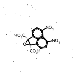 O=C(O)[C@]1(c2ccc([N+](=O)[O-])cc2)O[C@@]1(C(=O)O)c1ccc([N+](=O)[O-])cc1